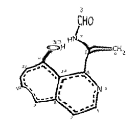 C=C(NC=O)c1nccc2cccc(O)c12